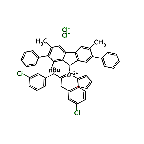 CCCCc1c(-c2ccccc2)c(C)cc2c1[CH]([Zr+2]([C]1=CC=CC1)=[C](Cc1cccc(Cl)c1)Cc1cccc(Cl)c1)c1cc(-c3ccccc3)c(C)cc1-2.[Cl-].[Cl-]